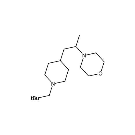 CC(CC1CCN(CC(C)(C)C)CC1)N1CCOCC1